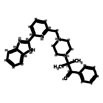 CC(C)(C(=O)c1ccccc1)N1CCN(Cc2cccc(-c3nc4ccccc4[nH]3)n2)CC1